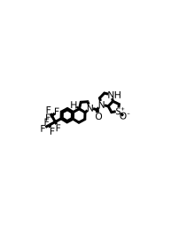 O=C(N1CCNC2C[S+]([O-])CC21)N1CC[C@H]2c3ccc(C(F)(C(F)(F)F)C(F)(F)F)cc3CCC21